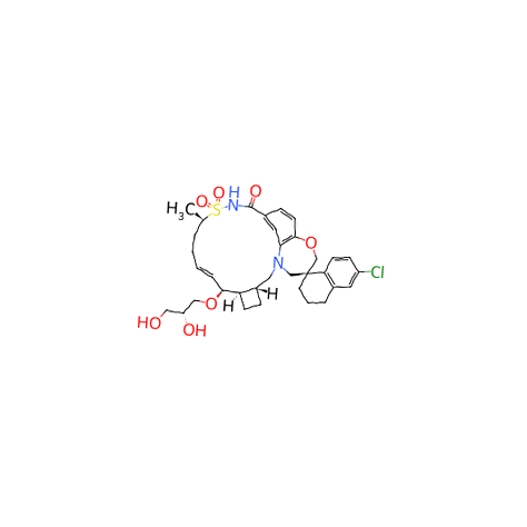 C[C@@H]1CC/C=C/[C@H](OC[C@H](O)CO)[C@@H]2CC[C@H]2CN2C[C@@]3(CCCc4cc(Cl)ccc43)COc3ccc(cc32)C(=O)NS1(=O)=O